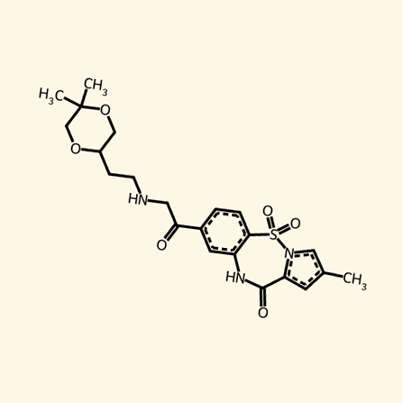 Cc1cc2n(c1)S(=O)(=O)c1ccc(C(=O)CNCCC3COC(C)(C)CO3)cc1NC2=O